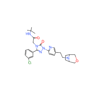 CC(C)(C)NC(=O)Cn1c(-c2cccc(Cl)c2)nn(-c2ccc(CCN3C4CCC3COC4)cn2)c1=O